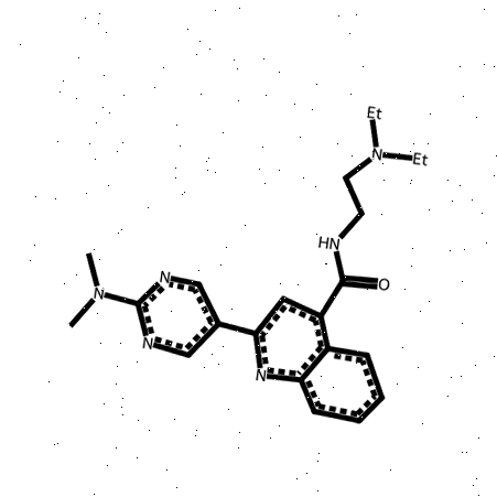 CCN(CC)CCNC(=O)c1cc(-c2cnc(N(C)C)nc2)nc2ccccc12